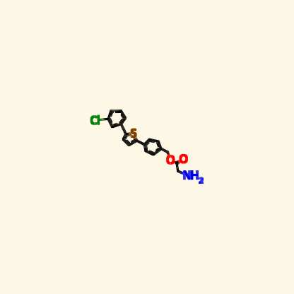 NCC(=O)OCc1ccc(-c2ccc(-c3cccc(Cl)c3)s2)cc1